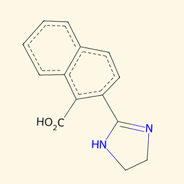 O=C(O)c1c(C2=NCCN2)ccc2ccccc12